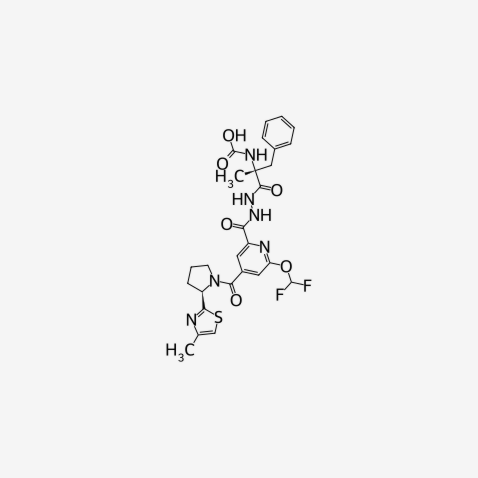 Cc1csc([C@H]2CCCN2C(=O)c2cc(OC(F)F)nc(C(=O)NNC(=O)[C@@](C)(Cc3ccccc3)NC(=O)O)c2)n1